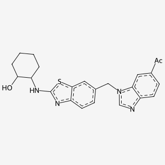 CC(=O)c1ccc2ncn(Cc3ccc4nc(NC5CCCCC5O)sc4c3)c2c1